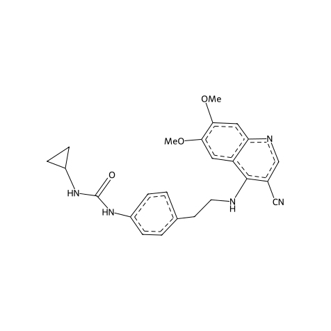 COc1cc2ncc(C#N)c(NCCc3ccc(NC(=O)NC4CC4)cc3)c2cc1OC